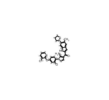 Cc1cc2cc(C(=O)c3cnn(-c4ccc(Oc5ncccc5Cl)cc4Cl)c3N)[nH]c2cc1N1CCCS1